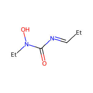 CCC=NC(=O)N(O)CC